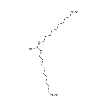 CCCCCCCCCCCCCCCCCCCOP(O)OCCCCCCCCCCCCCCCCCCC